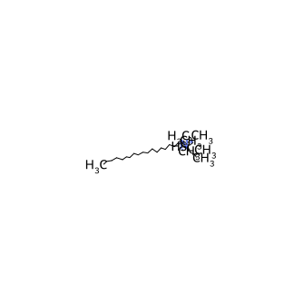 CCCCCCCCCCCCCCCCCC[N+](C)(C)[SiH](CC(C)C)CC(C)C